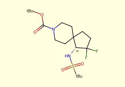 CC(C)(C)OC(=O)N1CCC2(CC1)CCC(F)(F)[C@@H]2NS(=O)(=O)C(C)(C)C